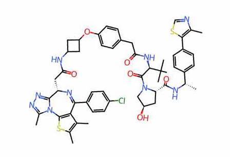 Cc1ncsc1-c1ccc([C@H](C)NC(=O)[C@@H]2C[C@@H](O)CN2C(=O)[C@@H](NC(=O)Cc2ccc(OC3CC(NC(=O)C[C@@H]4N=C(c5ccc(Cl)cc5)c5c(sc(C)c5C)-n5c(C)nnc54)C3)cc2)C(C)(C)C)cc1